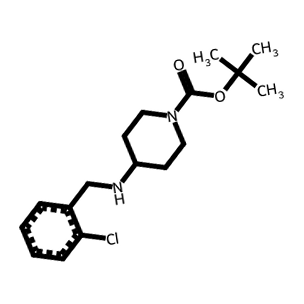 CC(C)(C)OC(=O)N1CCC(NCc2ccccc2Cl)CC1